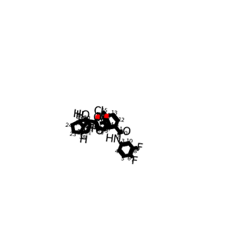 O=C(Nc1ccc(F)c(F)c1)c1ccc(Cl)c(S(=O)(=O)[C@@H]2C[C@H]3CC[C@@H](C2)[C@@]3(O)[C@@H](O)c2ccccn2)c1